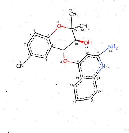 [C-]#[N+]c1ccc2c(c1)[C@@H](Oc1cc(N)nc3ccccc13)[C@H](O)C(C)(C)O2